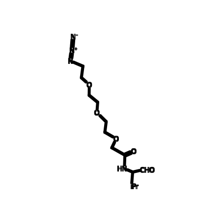 CC(C)C(C=O)NC(=O)COCCOCCOCCN=[N+]=[N-]